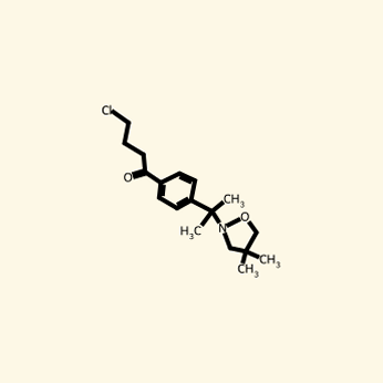 CC1(C)CON(C(C)(C)c2ccc(C(=O)CCCCl)cc2)C1